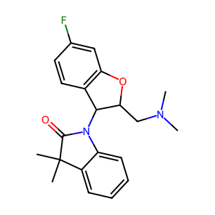 CN(C)CC1Oc2cc(F)ccc2C1N1C(=O)C(C)(C)c2ccccc21